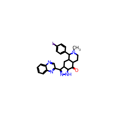 CN1CCC2C(=O)C3NN=C(c4cnc5ccccc5n4)C3CC2C1c1ccc(I)cc1